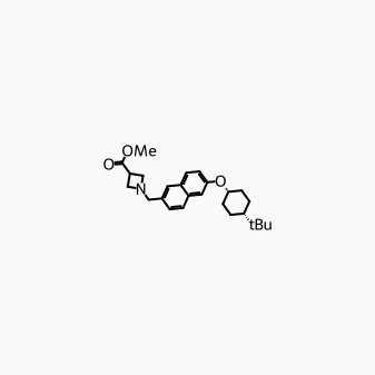 COC(=O)C1CN(Cc2ccc3cc(O[C@H]4CC[C@@H](C(C)(C)C)CC4)ccc3c2)C1